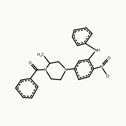 CC1CN(c2ccc([N+](=O)[O-])c(Nc3ccccc3)c2)CCN1C(=O)c1ccccc1